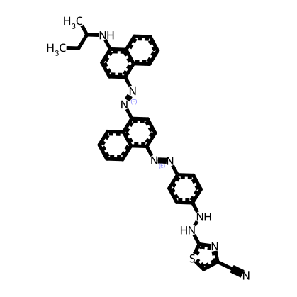 CCC(C)Nc1ccc(/N=N/c2ccc(/N=N/c3ccc(NNc4nc(C#N)cs4)cc3)c3ccccc23)c2ccccc12